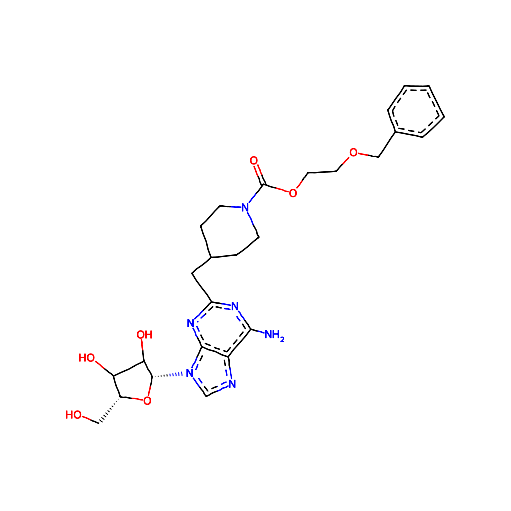 Nc1nc(CC2CCN(C(=O)OCCOCc3ccccc3)CC2)nc2c1ncn2[C@@H]1O[C@H](CO)C(O)C1O